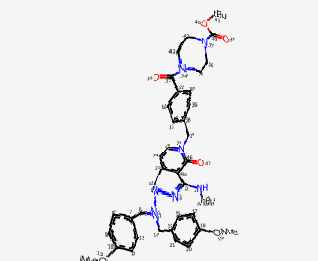 CCCCNC1=NN(N(Cc2ccc(OC)cc2)Cc2ccc(OC)cc2)Cc2ccn(Cc3ccc(C(=O)N4CCN(C(=O)OC(C)(C)C)CC4)cc3)c(=O)c21